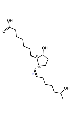 CC(O)CCCC/C=C\[C@H]1CCC(O)[C@@H]1CCCCCCC(=O)O